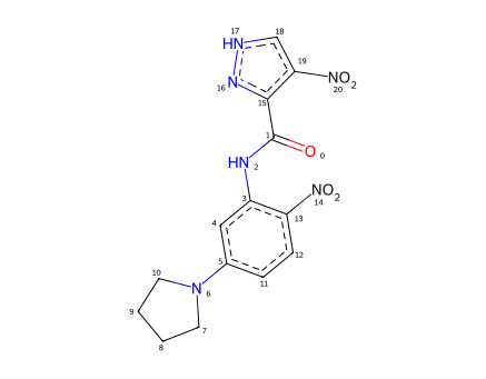 O=C(Nc1cc(N2CCCC2)ccc1[N+](=O)[O-])c1n[nH]cc1[N+](=O)[O-]